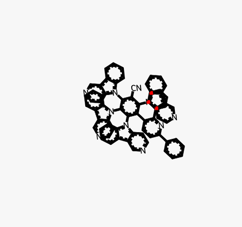 N#Cc1c(-n2c3ccccc3c3cnccc32)c(-c2ccc(-c3ccccc3)nc2-c2ccccc2)c(-n2c3ccccc3c3cnccc32)c(-n2c3ccccc3c3cnccc32)c1-n1c2ccccc2c2cnccc21